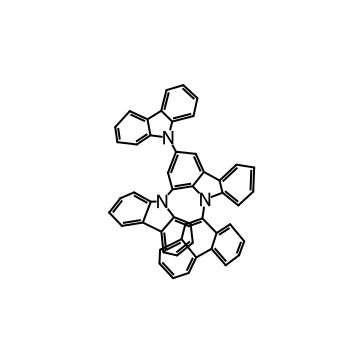 c1ccc2c(c1)cc(-n1c3ccccc3c3cc(-n4c5ccccc5c5ccccc54)cc(-n4c5ccccc5c5ccccc54)c31)c1ccccc12